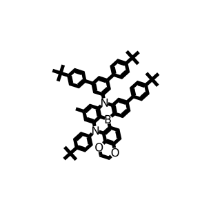 Cc1cc2c3c(c1)N(c1ccc(C(C)(C)C)cc1)c1c(ccc4c1OCCO4)B3c1ccc(-c3ccc(C(C)(C)C)cc3)cc1N2c1cc(-c2ccc(C(C)(C)C)cc2)cc(-c2ccc(C(C)(C)C)cc2)c1